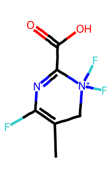 CC1=C(F)N=C(C(=O)O)[N+](F)(F)C1